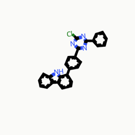 Clc1nc(-c2ccccc2)nc(-c2ccc(-c3cccc4c3[nH]c3ccccc34)cc2)n1